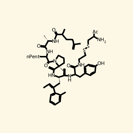 C=C(C)CCC(C)C(=O)N[C@@H](C)C(=O)NC(CCCCC)C(=O)N1CCC[C@@]1(C)C(=C)N[C@@H](C/C(=C/C)c1ccccc1C)C(=C)NC(Cc1ccc(O)cc1)C(=O)NCCSSCC(N)C(C)=O